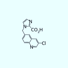 O=C(O)c1nccn1Cc1ccc2ncc(Cl)cc2c1